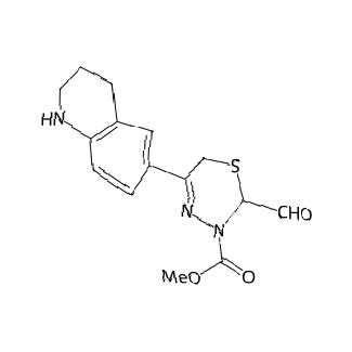 COC(=O)N1N=C(c2ccc3c(c2)CCCN3)CSC1C=O